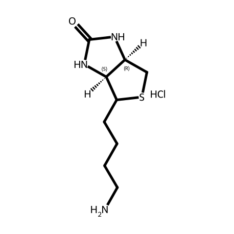 Cl.NCCCCC1SC[C@@H]2NC(=O)N[C@H]12